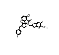 Nc1nc2cc(CN3C(=O)c4c(Cl)cccc4[C@]34CCN(Cc3ccc(F)cc3)C4=O)[nH]c2cc1F